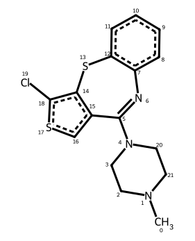 CN1CCN(C2=Nc3ccccc3Sc3c2csc3Cl)CC1